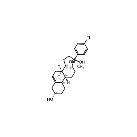 C[C@]12CC[C@H]3[C@@H](CC=C4C[C@@H](O)CC[C@@]43C)[C@@]1(O)CC[C@]2(O)c1ccc(Cl)cc1